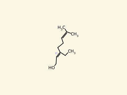 CC/C(=C\CO)CCC=C(C)C